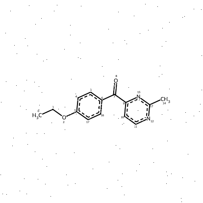 CCOc1ccc(C(=O)c2ccnc(C)n2)cc1